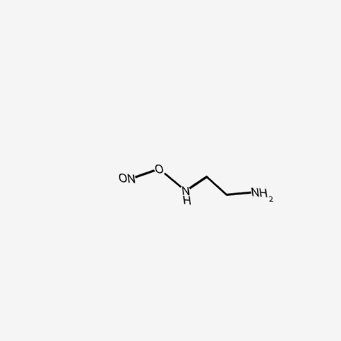 NCCNON=O